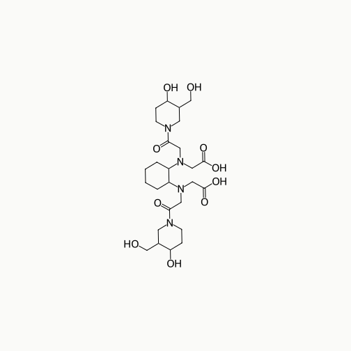 O=C(O)CN(CC(=O)N1CCC(O)C(CO)C1)C1CCCCC1N(CC(=O)O)CC(=O)N1CCC(O)C(CO)C1